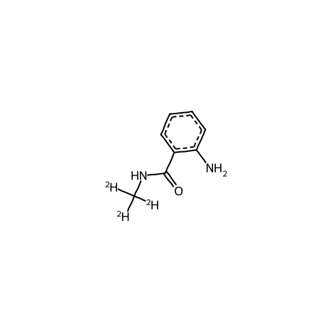 [2H]C([2H])([2H])NC(=O)c1ccccc1N